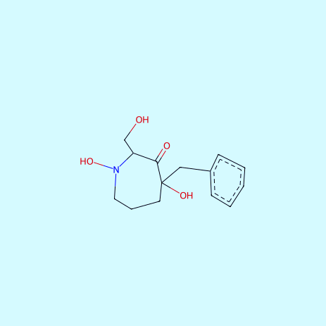 O=C1C(CO)N(O)CCCC1(O)Cc1ccccc1